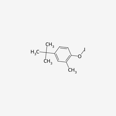 Cc1cc(C(C)(C)C)ccc1OI